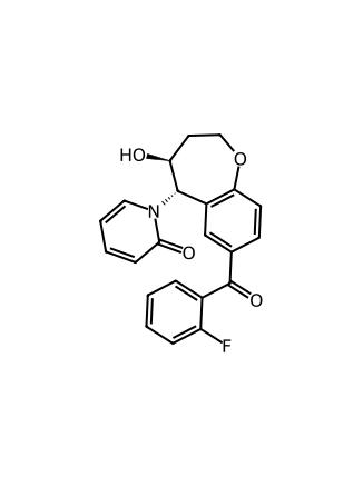 O=C(c1ccc2c(c1)[C@H](n1ccccc1=O)[C@@H](O)CCO2)c1ccccc1F